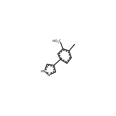 Cc1ccc(-c2cn[nH]c2)cc1C(=O)O